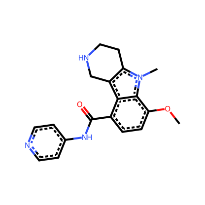 COc1ccc(C(=O)Nc2ccncc2)c2c3c(n(C)c12)CCNC3